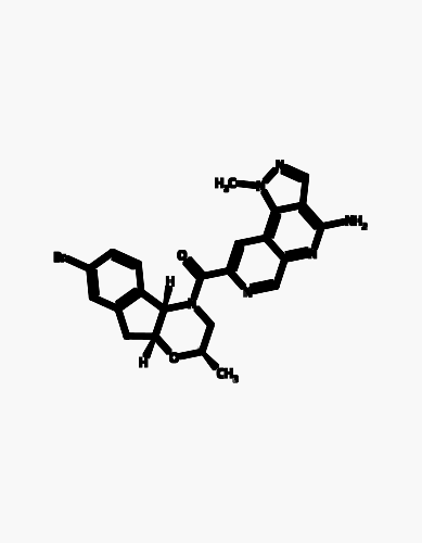 C[C@@H]1CN(C(=O)c2cc3c(cn2)nc(N)c2cnn(C)c23)[C@H]2c3ccc(Br)cc3C[C@H]2O1